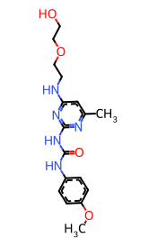 COc1ccc(NC(=O)Nc2nc(C)cc(NCCOCCO)n2)cc1